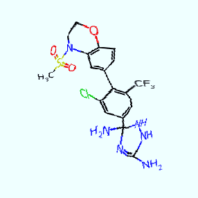 CS(=O)(=O)N1CCOc2ccc(-c3c(Cl)cc(C4(N)N=C(N)NN4)cc3C(F)(F)F)cc21